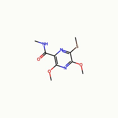 CNC(=O)c1nc(SC)c(OC)nc1OC